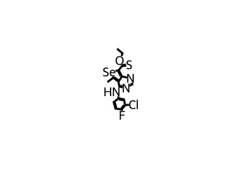 CCOC(=S)c1[se]c(C)c2c(Nc3ccc(F)c(Cl)c3)ncnc12